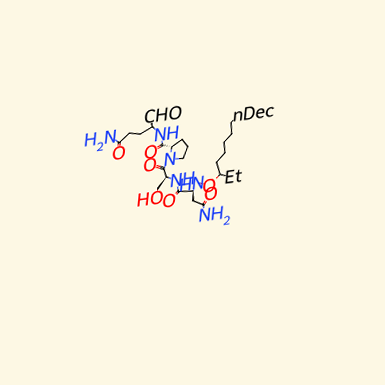 CCCCCCCCCCCCCCCC(CC)ON[C@@H](CC(N)=O)C(=O)N[C@@H](CO)C(=O)N1CCC[C@H]1C(=O)N[C@H](C=O)CCC(N)=O